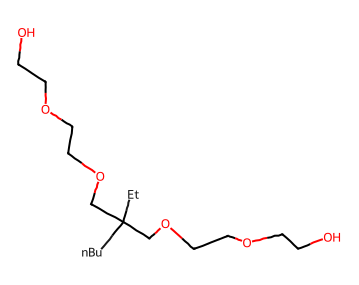 CCCCC(CC)(COCCOCCO)COCCOCCO